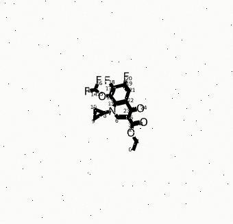 CCOC(=O)c1cn(C2CC2)c2c(OC(F)F)c(F)c(F)cc2c1=O